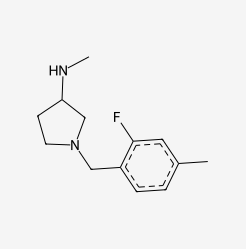 CNC1CCN(Cc2ccc(C)cc2F)C1